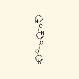 c1ccc(OCc2ccc(OCCOc3ccncc3)cn2)nc1